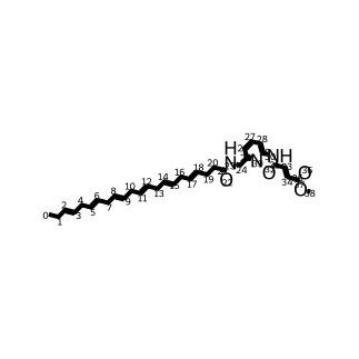 CCC=CCC=CCC=CCC=CCC=CCC=CCCC(=O)NCc1cccc(NC(=O)C=CC(=O)OC)n1